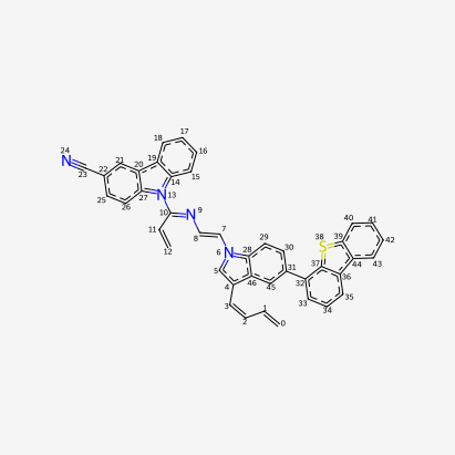 C=C/C=C\c1cn(/C=C/N=C(\C=C)n2c3ccccc3c3cc(C#N)ccc32)c2ccc(-c3cccc4c3sc3ccccc34)cc12